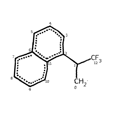 [CH2]C(c1cccc2ccccc12)C(F)(F)F